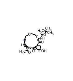 CC(=O)[C@@]12C[C@H]1/C=C\CCCCC[C@H](NC(=O)OC(C)(C)C)C(=O)N1C[C@@H](O)C[C@H]1C(=O)N2